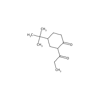 CCC(=O)C1CC(C(C)(C)C)CCC1=O